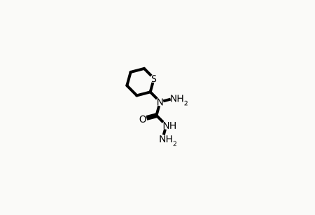 NNC(=O)N(N)C1CCCCS1